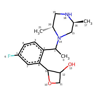 CC(c1ccc(F)cc1C1OCC1O)N1C[C@H](C)NC[C@H]1C